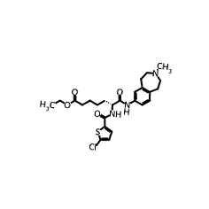 CCOC(=O)CCCC[C@@H](NC(=O)c1ccc(Cl)s1)C(=O)Nc1ccc2c(c1)CCN(C)CC2